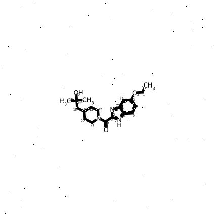 CCOc1ccc2[nH]c(C(=O)N3CCC(CC(C)(C)O)CC3)nc2c1